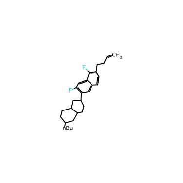 C=CCCc1ccc2cc(C3CCC4CC(CCCC)CCC4C3)c(F)cc2c1F